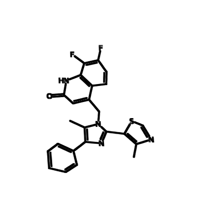 Cc1ncsc1-c1nc(-c2ccccc2)c(C)n1Cc1cc(=O)[nH]c2c(F)c(F)ccc12